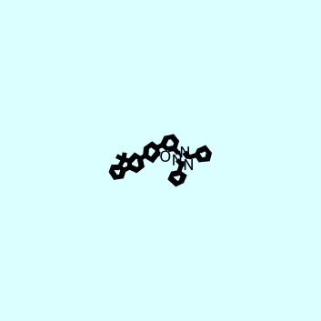 CC1(C)c2ccccc2-c2ccc(-c3ccc4c(c3)oc3c(-c5nc(-c6ccccc6)nc(-c6ccccc6)n5)cccc34)cc21